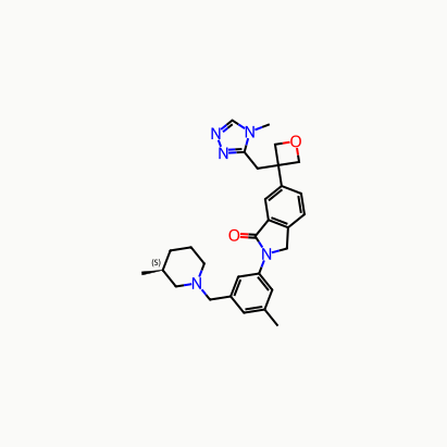 Cc1cc(CN2CCC[C@H](C)C2)cc(N2Cc3ccc(C4(Cc5nncn5C)COC4)cc3C2=O)c1